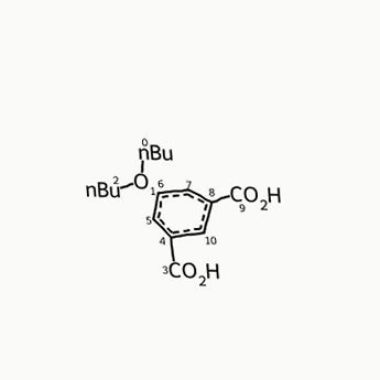 CCCCOCCCC.O=C(O)c1cccc(C(=O)O)c1